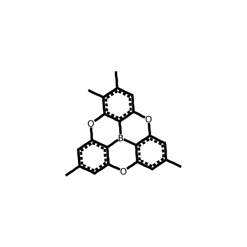 Cc1cc2c3c(c1)Oc1cc(C)c(C)c4c1B3c1c(cc(C)cc1O4)O2